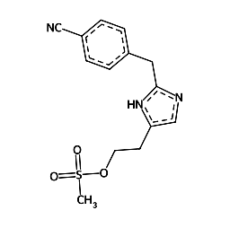 CS(=O)(=O)OCCc1cnc(Cc2ccc(C#N)cc2)[nH]1